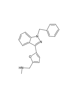 CNCc1ccc(-c2nn(Cc3ccccc3)c3ccccc23)o1